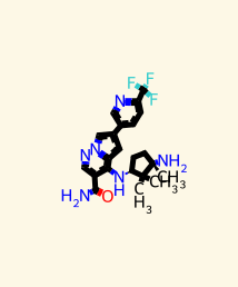 CC1(C)[C@H](Nc2c(C(N)=O)cnn3cc(-c4ccc(C(F)(F)F)nc4)cc23)CC[C@]1(C)N